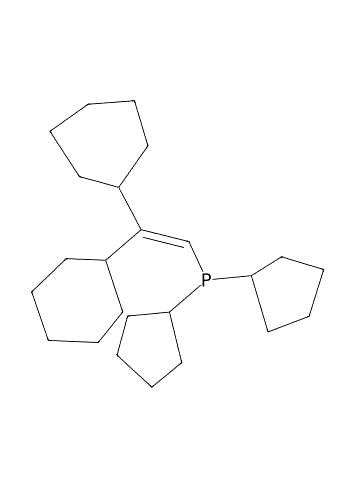 C(=C(C1CCCCC1)C1CCCCC1)P(C1CCCC1)C1CCCC1